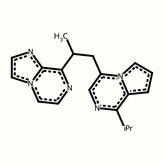 CC(C)c1ncc(CC(C)c2nccn3ccnc23)n2cccc12